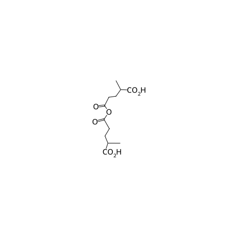 CC(CCC(=O)OC(=O)CCC(C)C(=O)O)C(=O)O